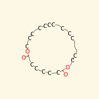 O=C1CCCCCCCCC(=O)OCCCCCCCCCCCCCCCCCCCCO1